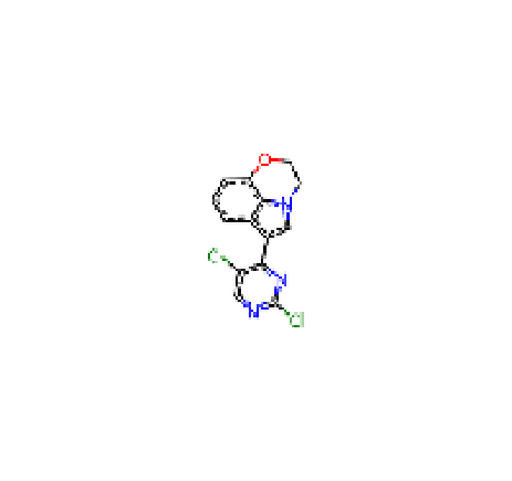 Clc1ncc(Cl)c(-c2cn3c4c(cccc24)OCC3)n1